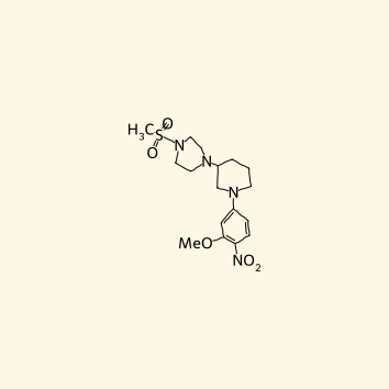 COc1cc(N2CCCC(N3CCN(S(C)(=O)=O)CC3)C2)ccc1[N+](=O)[O-]